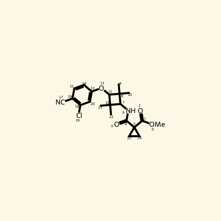 COC(=O)C1(C(=O)NC2C(C)(C)C(Oc3ccc(C#N)c(Cl)c3)C2(C)C)CC1